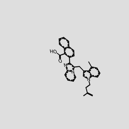 C=C(C)CCn1cc(Cc2c(-c3ccc4ccccc4c3C(=O)O)nc3ccccn23)c2c(C)cccc21